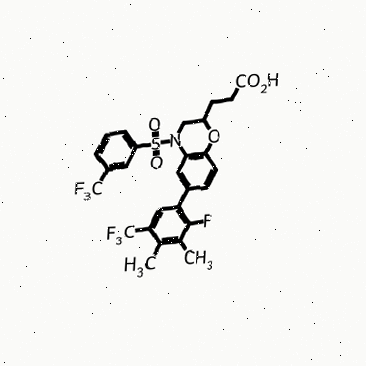 Cc1c(C(F)(F)F)cc(-c2ccc3c(c2)N(S(=O)(=O)c2cccc(C(F)(F)F)c2)CC(CCC(=O)O)O3)c(F)c1C